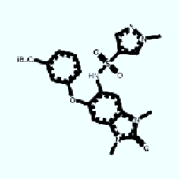 CC(C)COc1cccc(Oc2cc3c(cc2NS(=O)(=O)c2cnn(C)c2)n(C)c(=O)n3C)c1